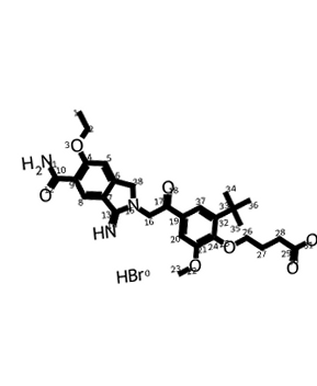 Br.CCOc1cc2c(cc1C(N)=O)C(=N)N(CC(=O)c1cc(OC)c(OCCCC(=O)O)c(C(C)(C)C)c1)C2